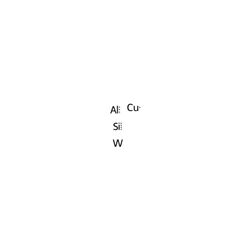 [Al].[Cu].[Si].[W]